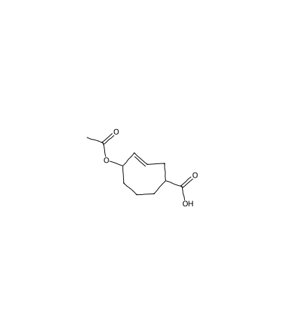 CC(=O)OC1/C=C/CC(C(=O)O)CCC1